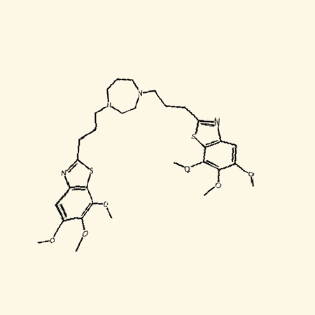 COc1cc2nc(CCCN3CCCN(CCCc4nc5cc(OC)c(OC)c(OC)c5s4)CC3)sc2c(OC)c1OC